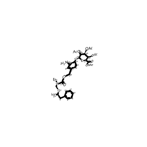 CCN(COC(C)Cc1ccccc1)C(=O)OCc1ccc(O[C@@H]2OC(C(=O)OC)C(OC(C)=O)[C@H](OC(C)=O)C2OC(C)=O)c(N)c1